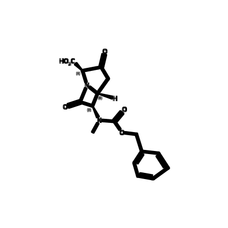 CN(C(=O)OCc1ccccc1)[C@H]1C(=O)N2[C@@H](C(=O)O)C(=O)C[C@H]12